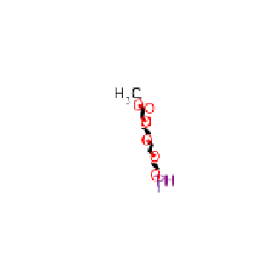 CCOC(=O)COCCOCCOCCOPI